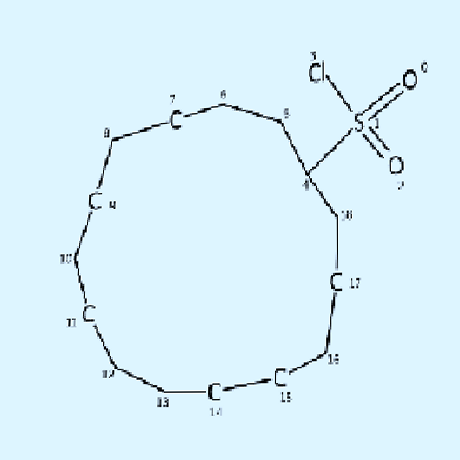 O=S(=O)(Cl)C1CCCCCCCCCCCCCC1